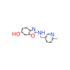 Cc1ccc(CNc2nc3ccc(O)cc3o2)cn1